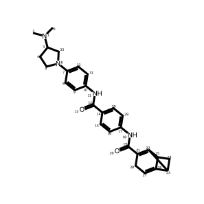 CN(C)C1CCN(c2ccc(NC(=O)c3ccc(NC(=O)C4=C5C6CC5C6=CC4)cc3)cc2)C1